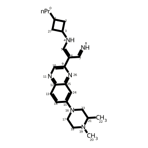 CCCC1CC(N/C=C(\C=N)c2cnc3ccc(N4CCN(C)C(C)C4)cc3n2)C1